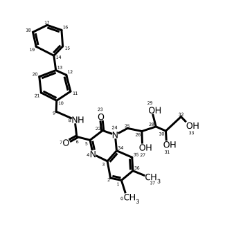 Cc1cc2nc(C(=O)NCc3ccc(-c4ccccc4)cc3)c(=O)n(CC(O)C(O)C(O)CO)c2cc1C